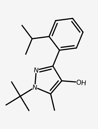 Cc1c(O)c(-c2ccccc2C(C)C)nn1C(C)(C)C